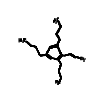 [CH2]CCc1c(CCCC)cc(CCCC)cc1CCCC